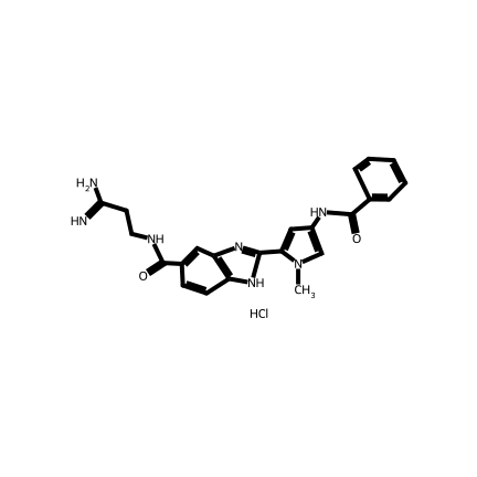 Cl.Cn1cc(NC(=O)c2ccccc2)cc1-c1nc2cc(C(=O)NCCC(=N)N)ccc2[nH]1